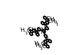 CC1(C)c2ccccc2-c2c1ccc1c2c2ccccc2n1-c1ccc(-c2cc(-c3cccc(-n4c5ccccc5c5c6c(ccc54)C(C)(C)c4ccccc4-6)c3)nc(-c3cccc(-n4c5ccccc5c5c6c(ccc54)C(C)(C)c4ccccc4-6)c3)n2)cc1